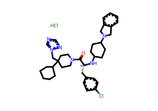 Cl.O=C([C@@H](Cc1ccc(Cl)cc1)NC1CCC(N2Cc3ccccc3C2)CC1)N1CCC(Cn2cncn2)(C2CCCCC2)CC1